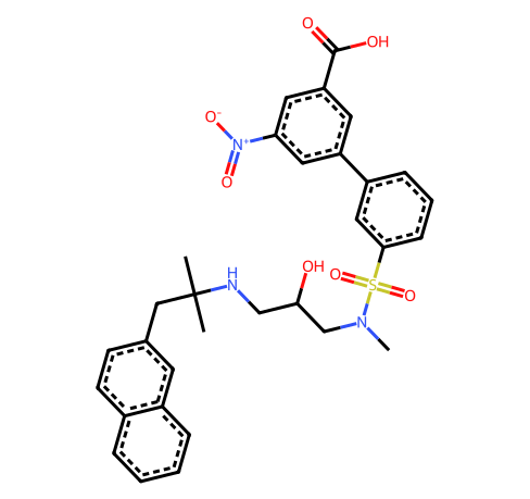 CN(CC(O)CNC(C)(C)Cc1ccc2ccccc2c1)S(=O)(=O)c1cccc(-c2cc(C(=O)O)cc([N+](=O)[O-])c2)c1